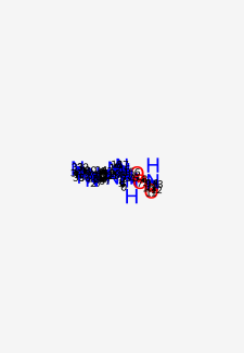 CCc1c(NC(=O)OC[C@@H]2COCCN2)cn2ncnc(Nc3ccc4c(cnn4Cc4cnccn4)c3)c12